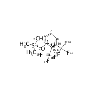 C[Si](C)(C)OC12C=CC(O1)C(C(F)(F)F)=C2C(F)(F)F